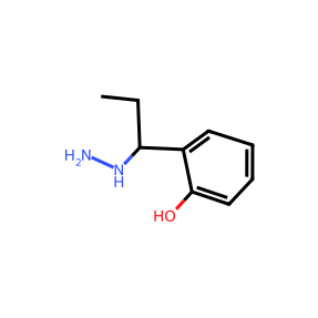 CCC(NN)c1ccccc1O